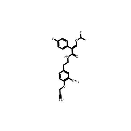 C#CCOc1ccc(CCNC(=O)C(=COC(F)F)c2ccc(F)cc2)cc1OC